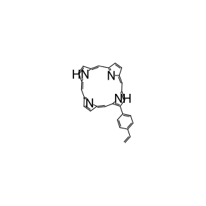 C=Cc1ccc(-c2cc3cc4nc(cc5ccc(cc6nc(cc2[nH]3)C=C6)[nH]5)C=C4)cc1